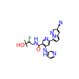 CC(C)(O)[C@H](F)CNC(=O)c1cnc(-c2ccc3cc(C#N)cnn23)cc1Nc1cccnc1